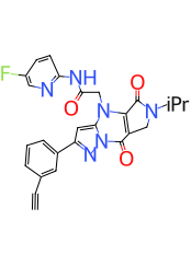 C#Cc1cccc(-c2cc3n(CC(=O)Nc4ccc(F)cn4)c4c(c(=O)n3n2)CN(C(C)C)C4=O)c1